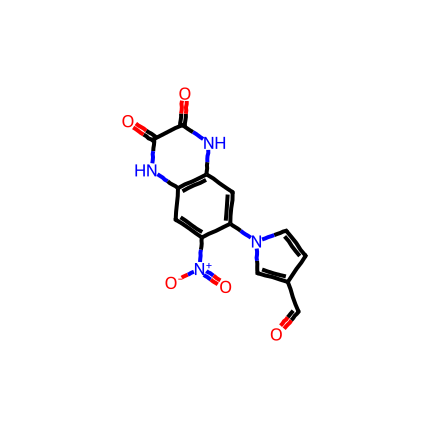 O=Cc1ccn(-c2cc3[nH]c(=O)c(=O)[nH]c3cc2[N+](=O)[O-])c1